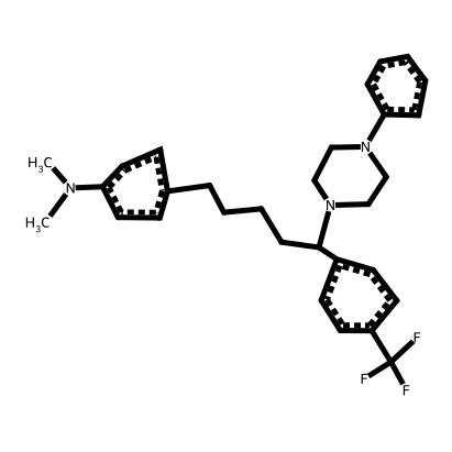 CN(C)c1ccc(CCCCC(c2ccc(C(F)(F)F)cc2)N2CCN(c3ccccc3)CC2)cc1